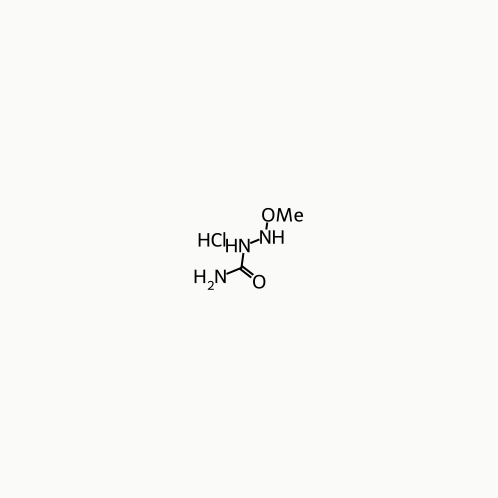 CONNC(N)=O.Cl